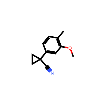 COc1cc(C2(C#N)CC2)ccc1C